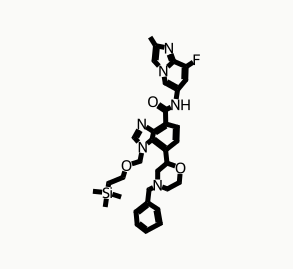 Cc1cn2cc(NC(=O)c3ccc(C4CN(Cc5ccccc5)CCO4)c4c3ncn4COCC[Si](C)(C)C)cc(F)c2n1